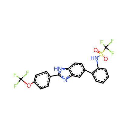 O=S(=O)(Nc1ccccc1-c1ccc2[nH]c(-c3ccc(OC(F)(F)F)cc3)nc2c1)C(F)(F)F